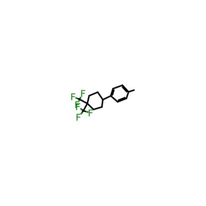 Cc1ccc(C2CCC(C(F)(F)F)(C(F)(F)F)CC2)cc1